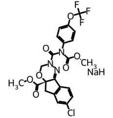 COC(=O)N(C(=O)N1CO[C@@]2(C(=O)OC)Cc3cc(Cl)ccc3C2=N1)c1ccc(OC(F)(F)F)cc1.[NaH]